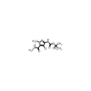 CNC(=O)c1c(Cl)c(NC(=O)OC(C)(C)C)nn1C